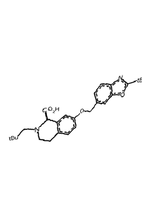 CC(C)(C)CN1CCc2ccc(OCc3ccc4nc(C(C)(C)C)oc4c3)cc2C1C(=O)O